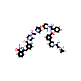 O=C(N[C@@H](C(=O)N1CCC(OC2CCN(CC(=O)N3CCN(C(=O)c4cc(Cc5n[nH]c(=O)c6ccccc56)ccc4F)CC3)CC2)CC1)C1CCCCC1)c1cccc(C2CCCN(C(=O)CNC3CC3)C2)c1